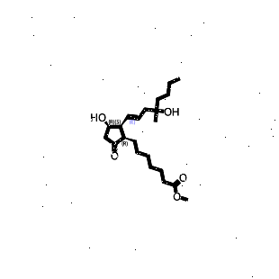 CCCCC(C)(O)C/C=C/[C@@H]1[C@H](O)CC(=O)[C@@H]1CCCCCCC(=O)OC